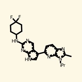 Cc1nc2ccc(-c3c[nH]c4nc(NC5CCC(F)(F)CC5)ncc34)nc2n1C(C)C